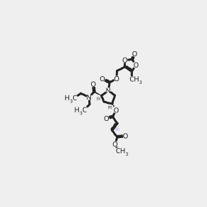 CCN(CC)C(=O)[C@@H]1C[C@@H](OC(=O)/C=C/C(=O)OC)CN1C(=O)OCc1oc(=O)oc1C